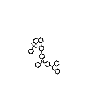 c1ccc(-c2nc3ccc4cccc(-c5ccc(-c6ccc(N(c7ccccc7)c7ccc(-c8cc9ccccc9c9ccccc89)cc7)cc6)cc5)c4c3o2)cc1